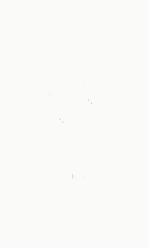 CS(=O)(=O)c1ncc(CC(=O)O)cn1